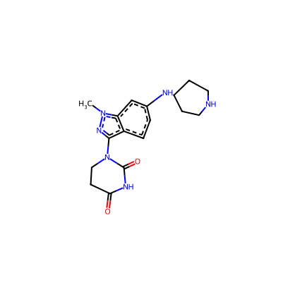 Cn1nc(N2CCC(=O)NC2=O)c2ccc(NC3CCNCC3)cc21